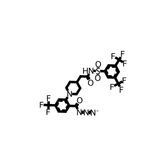 [N-]=[N+]=NC(=O)c1ccc(C(F)(F)F)cc1N1CCC(CC(=O)NS(=O)(=O)c2cc(C(F)(F)F)cc(C(F)(F)F)c2)CC1